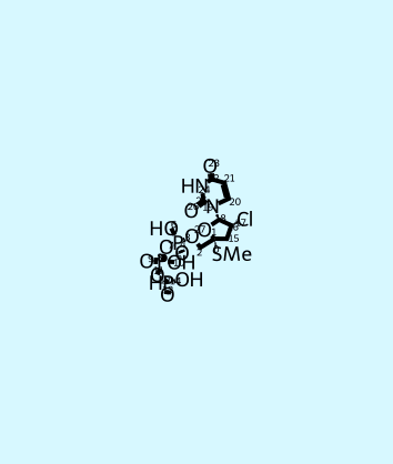 CS[C@@]1(COP(=O)(O)OP(=O)(O)O[PH](=O)O)C[C@@H](Cl)[C@@H](n2ccc(=O)[nH]c2=O)O1